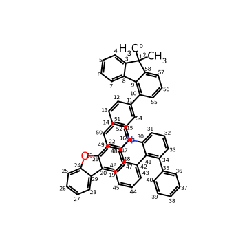 CC1(C)c2ccccc2-c2c(-c3cccc(N(c4ccc5c(c4)oc4ccccc45)c4cccc(-c5ccccc5)c4-c4ccccc4-c4ccccc4)c3)cccc21